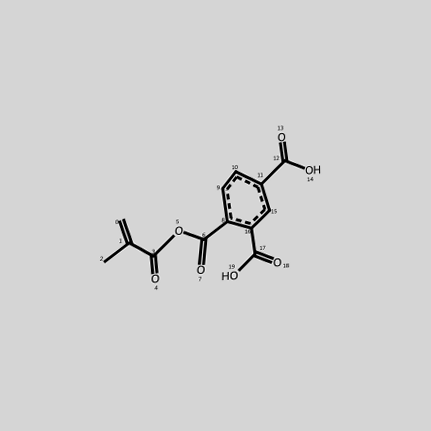 C=C(C)C(=O)OC(=O)c1ccc(C(=O)O)cc1C(=O)O